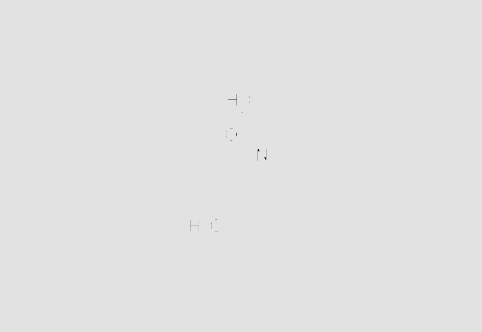 C=CC(=O)N1CCCC(CCC)C1